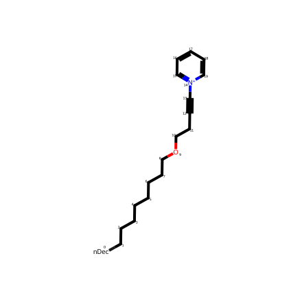 CCCCCCCCCCCCCCCCCCOCCC#C[n+]1ccccc1